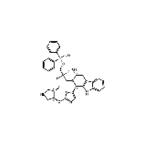 C[C@@H]1Cc2c([nH]c3ccccc23)[C@@H](c2cnc(O[C@H]3CNC[C@H]3F)s2)N1CC(F)(F)CO[Si](c1ccccc1)(c1ccccc1)C(C)(C)C